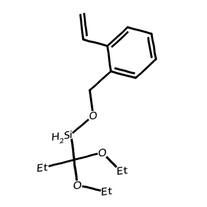 C=Cc1ccccc1CO[SiH2]C(CC)(OCC)OCC